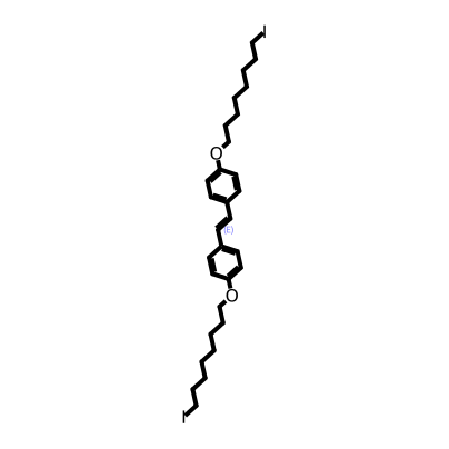 ICCCCCCCCOc1ccc(/C=C/c2ccc(OCCCCCCCCI)cc2)cc1